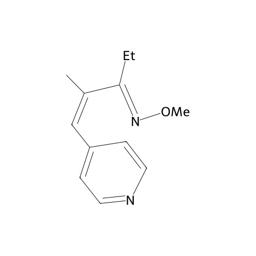 CCC(=NOC)C(C)=Cc1ccncc1